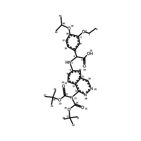 CCOc1cc(C(Nc2ccc3c(N(C(=O)OC(C)(C)C)C(=O)OC(C)(C)C)nncc3c2)C(=O)O)ccc1OC(C)C